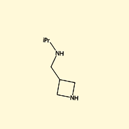 CC(C)NCC1CNC1